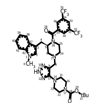 Cn1cc(C[C@@H]2CN(Cc3n[nH]nc3N3CCN(C(=O)OC(C)(C)C)CC3)CCN2C(=O)c2cc(C(F)(F)F)cc(C(F)(F)F)c2)c2ccccc21